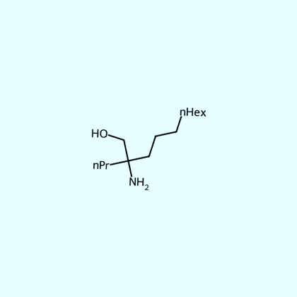 CCCCCCCCCC(N)(CO)CCC